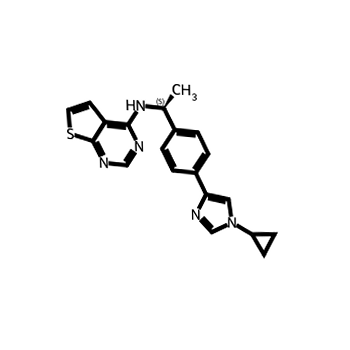 C[C@H](Nc1ncnc2sccc12)c1ccc(-c2cn(C3CC3)cn2)cc1